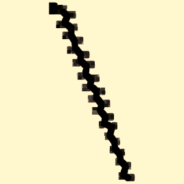 CCCCCCCCCCCCCCCCCCCCCCCCCCCBr